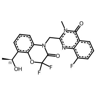 C[C@H](O)c1cccc2c1OC(F)(F)C(=O)N2Cc1nc2c(F)cccc2c(=O)n1C